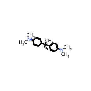 CC(C)C(C)(c1ccc(N(C)C)cc1)C1C=CC(=[N+](C)C)C=C1